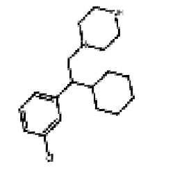 Clc1cccc(C(CN2CCNCC2)C2CCCCC2)c1